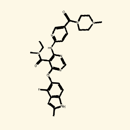 CCN(C)C(=O)c1c(Nc2ccc(C(=O)N3CCN(C)CC3)cn2)ncnc1Oc1ccc2[nH]c(C)cc2c1F